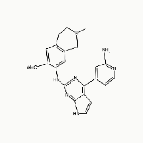 COc1cc2c(cc1Nc1nc(-c3ccnc(N)c3)c3cc[nH]c3n1)CN(C)CC2